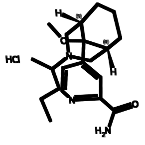 CCCC(C)N1C[C@H]2CCC[C@@H](C1)C2(OC)c1ccnc(C(N)=O)c1.Cl